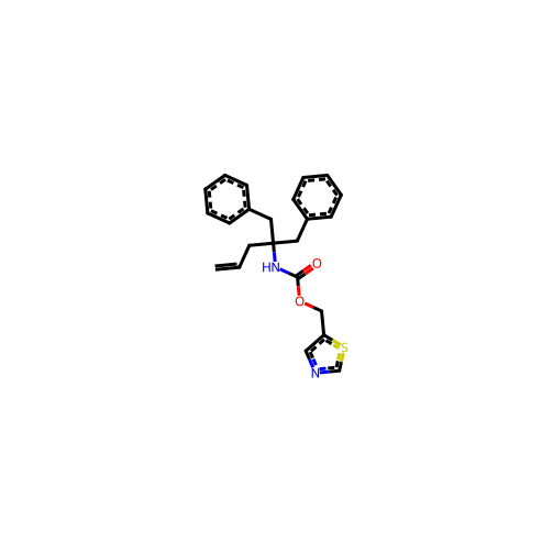 C=CCC(Cc1ccccc1)(Cc1ccccc1)NC(=O)OCc1cncs1